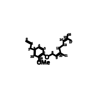 C=CCc1ccc(OC/C=C(/C)CCC=C(C)C)c(OC)c1